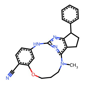 CN1CCCOc2cc(ccc2C#N)Nc2nc3c(c1n2)CCC3c1ccccc1